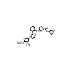 COc1ncc(N2C=COC(C3=C(O[C@H]4CCN(C(=O)Cc5cn(C)cn5)C4)C=CCC3)=C2)cc1C#N